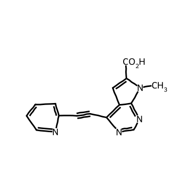 Cn1c(C(=O)O)cc2c(C#Cc3ccccn3)ncnc21